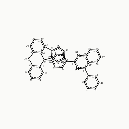 c1ccc(-c2nc(-c3ccc(C45c6ccccc6Sc6cccc(c64)-c4ccccc45)cc3)nc3ccccc23)cc1